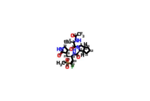 CC(C)(C)[C@@H](NC(=O)C(F)(F)F)C(=O)N1C[C@@H]2CCC[C@@H]2[C@H]1C(=O)N[C@@H](/C=C(/F)S(C)(=O)=O)C[C@@H]1CCNC1=O